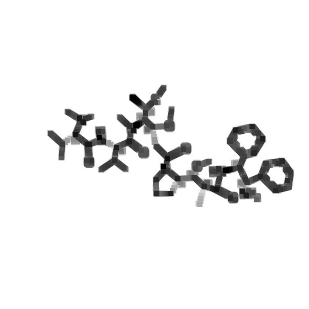 CC[C@H](C)[C@@H]([C@@H](CC(=O)N1CCC[C@H]1[C@H](OC)[C@@H](C)C(=O)N[C@@H](c1ccccc1)[C@@H](N)c1ccccc1)OC)N(C)C(=O)[C@@H](NC(=O)[C@H](C(C)C)N(C)C)C(C)C